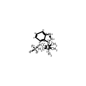 F[B-](F)(F)F.[CH2]=[U](=[CH2])(=[CH2])(=[CH2])(=[CH2])[n]1nnc2ccccc21